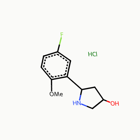 COc1ccc(F)cc1C1CC(O)CN1.Cl